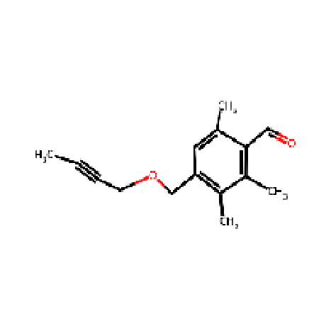 CC#CCOCc1cc(C)c(C=O)c(C)c1C